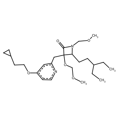 CCC(CC)CCC1N(COC)C(=O)C1(Cc1cc(OCCC2CC2)ccn1)OCOC